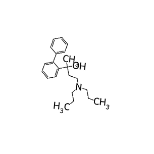 CCCN(CCC)CCC(C)(O)c1ccccc1-c1ccccc1